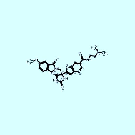 COc1ccc2c(c1)C(=O)N(C[C@@]1(c3cc4ncc(C(=O)NCCN(C)C)cc4o3)NC(=O)NC1=O)C2